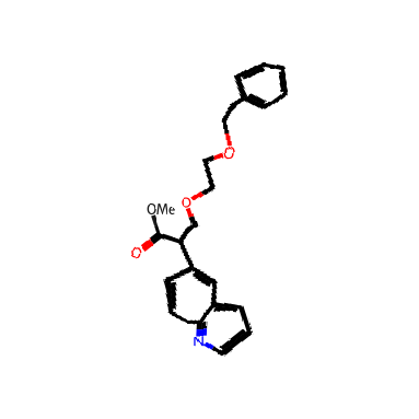 COC(=O)C(COCCOCc1ccccc1)c1ccc2ncccc2c1